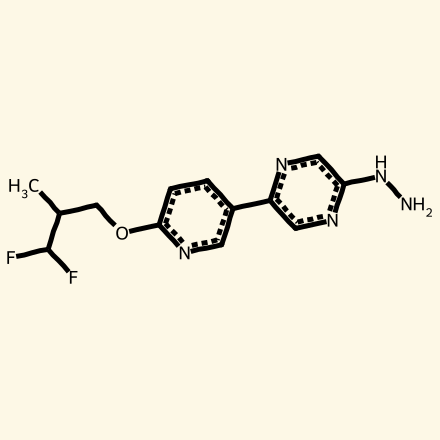 CC(COc1ccc(-c2cnc(NN)cn2)cn1)C(F)F